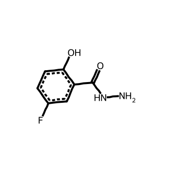 NNC(=O)c1cc(F)ccc1O